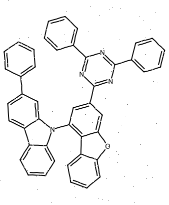 c1ccc(-c2ccc3c4ccccc4n(-c4cc(-c5nc(-c6ccccc6)nc(-c6ccccc6)n5)cc5oc6ccccc6c45)c3c2)cc1